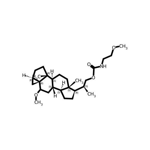 COCCNC(=O)OC[C@@H](C)[C@H]1CC[C@H]2[C@@H]3CC(OC)[C@]45C[C@H]4CC[C@]5(C)[C@H]3CC[C@]12C